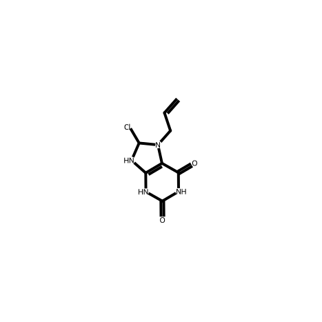 C=CCN1c2c([nH]c(=O)[nH]c2=O)NC1Cl